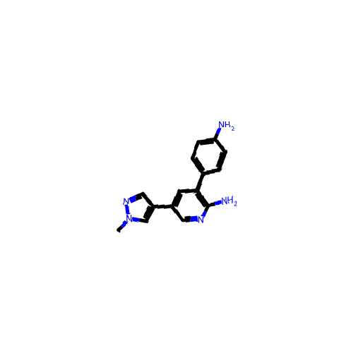 Cn1cc(-c2cnc(N)c(-c3ccc(N)cc3)c2)cn1